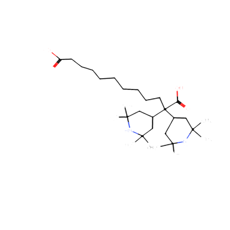 CC1(C)CC(C(CCCCCCCCCC(=O)O)(C(=O)O)C2CC(C)(C)NC(C)(C)C2)CC(C)(C)N1